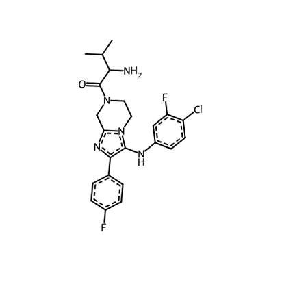 CC(C)C(N)C(=O)N1CCn2c(nc(-c3ccc(F)cc3)c2Nc2ccc(Cl)c(F)c2)C1